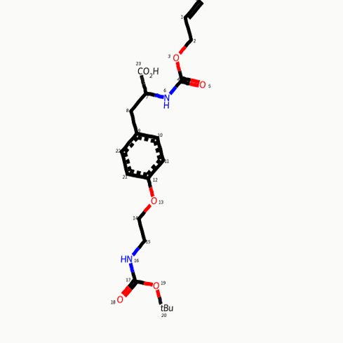 C=CCOC(=O)NC(Cc1ccc(OCCNC(=O)OC(C)(C)C)cc1)C(=O)O